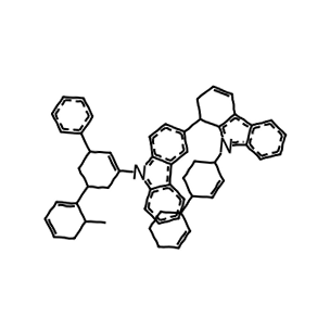 CC1CC=CC=C1C1CC(n2c3ccccc3c3cc(C4CC=Cc5c4n(C4C=CC(C6C=CCCC6)CC4)c4ccccc54)ccc32)=CC(c2ccccc2)C1